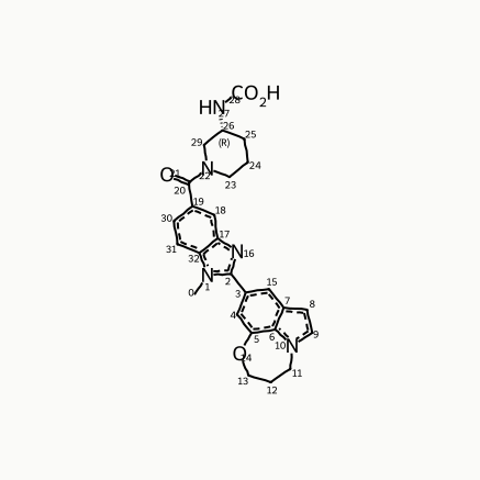 Cn1c(-c2cc3c4c(ccn4CCCO3)c2)nc2cc(C(=O)N3CCC[C@@H](NC(=O)O)C3)ccc21